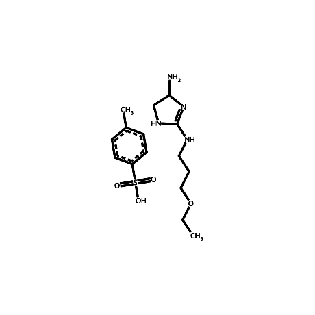 CCOCCCNC1=NC(N)CN1.Cc1ccc(S(=O)(=O)O)cc1